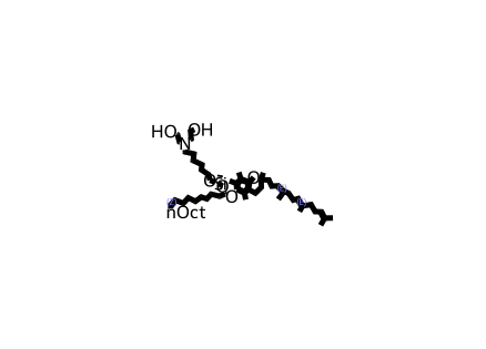 CCCCCCCC/C=C\CCCCCCCC(Oc1c(C)c(C)c2c(c1C)CCC(C)(CC/C=C(\C)CC/C=C(\C)CCC=C(C)C)O2)O[Si](C)(C)OCCCCCCN(CCO)CCO